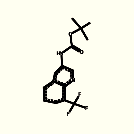 CC(C)(C)OC(=O)Nc1cnc2c(C(F)(F)F)cccc2c1